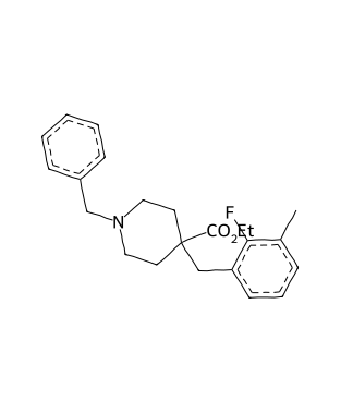 CCOC(=O)C1(Cc2cccc(C)c2F)CCN(Cc2ccccc2)CC1